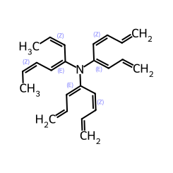 C=C/C=C\C(=C/C=C)N(C(/C=C\C=C)=C/C=C)C(/C=C\C)=C/C=C\C